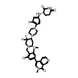 COc1cc(-c2cn(C)c(=O)c3cnccc23)cc(Cl)c1CN1CC[C@@H](N2CCN(c3ccc(N[C@H]4CCC(=O)NC4=O)cc3F)CC2)C(F)(F)C1